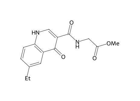 CCc1ccc2[nH]cc(C(=O)NCC(=O)OC)c(=O)c2c1